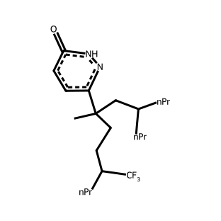 CCCC(CCC)CC(C)(CCC(CCC)C(F)(F)F)c1ccc(=O)[nH]n1